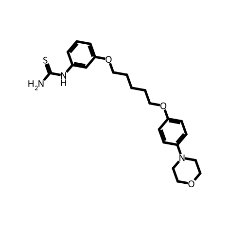 NC(=S)Nc1cccc(OCCCCCOc2ccc(N3CCOCC3)cc2)c1